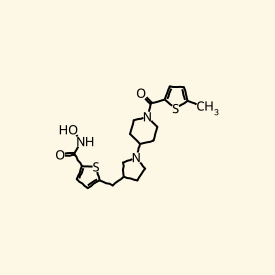 Cc1ccc(C(=O)N2CCC(N3CCC(Cc4ccc(C(=O)NO)s4)C3)CC2)s1